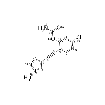 Cn1cc(C#Cc2cnc(Cl)cc2OC(N)=O)cn1